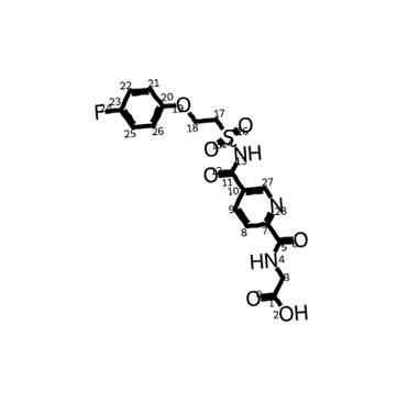 O=C(O)CNC(=O)c1ccc(C(=O)NS(=O)(=O)CCOc2ccc(F)cc2)cn1